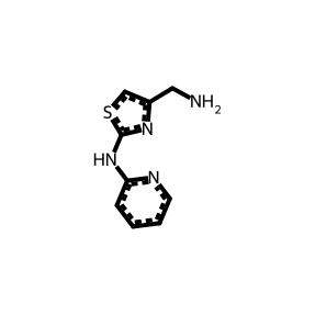 NCc1csc(Nc2ccccn2)n1